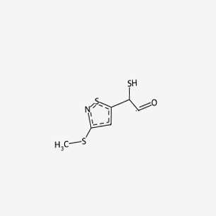 CSc1cc(C(S)[C]=O)sn1